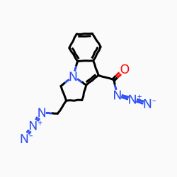 [N-]=[N+]=NCC1Cc2c(C(=O)N=[N+]=[N-])c3ccccc3n2C1